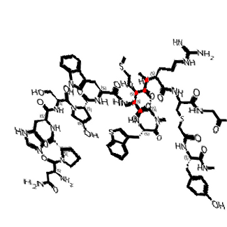 CCCC[C@@H](C(=O)N(C)[C@@H](CCSC)C(=O)N[C@@H](CCCNC(=N)N)C(=O)NC(CSCC(=O)N[C@@H](Cc1ccc(O)cc1)C(=O)NC)C(=O)NCC(N)=O)N(C)C(=O)[C@H](Cc1csc2ccccc12)NC(=O)[C@H](CO)NC(=O)[C@H](Cc1c[nH]c2ccccc12)NC(=O)[C@@H]1C[C@@H](O)CN1C(=O)[C@H](CO)NC(=O)[C@H](Cc1cnc[nH]1)NC(=O)[C@@H]1CCCN1C(=O)[C@@H](N)CC(N)=O